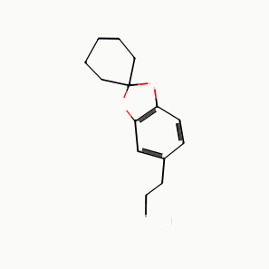 O=C(O)CCc1ccc2c(c1)OC1(CCCCC1)O2